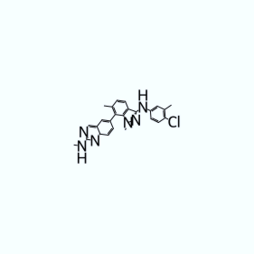 CNc1ncc2cc(-c3c(C)ccc4c(Nc5ccc(Cl)c(C)c5)nn(C)c34)ccc2n1